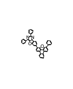 c1ccc(-c2nc(-c3ccccc3)c3oc4cc(-c5ccc6c7ccccc7c7ccc(-c8ccccc8)c8oc5c6c87)ccc4c3n2)cc1